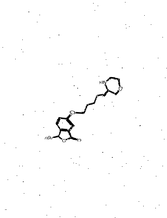 CCCCC1OC(=O)c2cc(OCCCCCC3COCCN3)ccc21